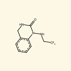 O=C1NCc2ccccc2N1NCC(F)(F)F